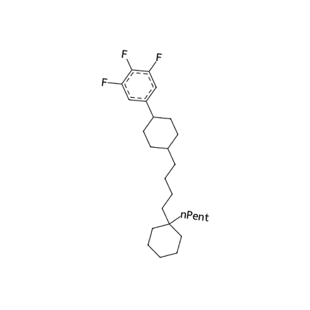 CCCCCC1(CCCCC2CCC(c3cc(F)c(F)c(F)c3)CC2)CCCCC1